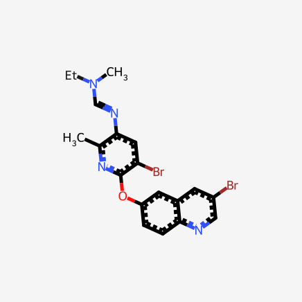 CCN(C)/C=N/c1cc(Br)c(Oc2ccc3ncc(Br)cc3c2)nc1C